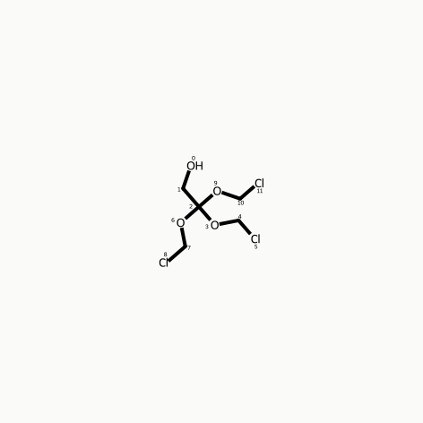 OCC(OCCl)(OCCl)OCCl